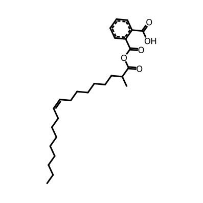 CCCCCCCC/C=C\CCCCCCC(C)C(=O)OC(=O)c1ccccc1C(=O)O